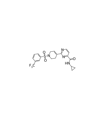 O=C(NC1CC1)c1ccnc(C2=CCN(S(=O)(=O)c3cccc(C(F)(F)F)c3)CC2)n1